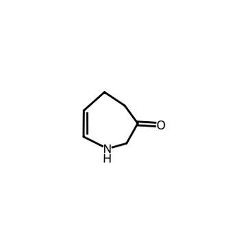 O=C1CCC=CNC1